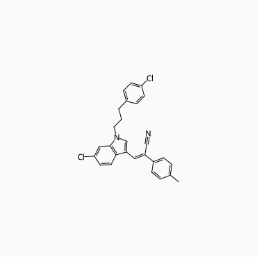 Cc1ccc(/C(C#N)=C/c2cn(CCCc3ccc(Cl)cc3)c3cc(Cl)ccc23)cc1